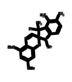 CCCN1c2ccc(C)c(C)c2C(C)(CC)C12C=Nc1c(OC)cc(OC)cc1O2